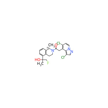 C[C@H]1c2cccc(C(C)(O)CF)c2CCN1C(=O)Cc1c(Cl)ccn2ncc(Cl)c12